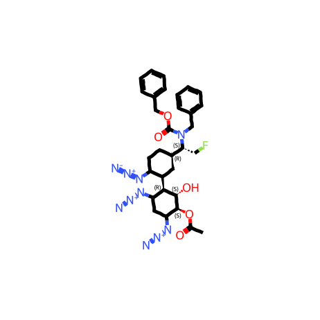 CC(=O)O[C@H]1C(N=[N+]=[N-])CC(N=[N+]=[N-])[C@@H](C2C[C@H]([C@@H](CF)N(Cc3ccccc3)C(=O)OCc3ccccc3)CCC2N=[N+]=[N-])[C@@H]1O